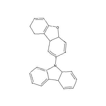 C1=CC2c3ccccc3N(C3=CC4C5=C(C=CCC5)OC4C=C3)C2C=C1